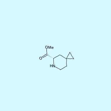 COC(=O)[C@@H]1CC2(CCN1)CC2